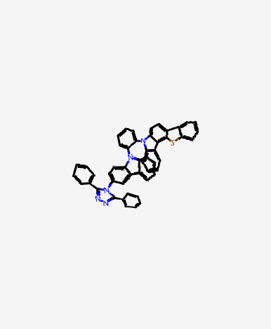 c1ccc(-c2nnc(-c3ccccc3)n2-c2ccc3c(c2)c2ccccc2n3-c2ccccc2-n2c3ccccc3c3c4sc5ccccc5c4ccc32)cc1